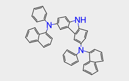 c1ccc(N(c2ccc3[nH]c4ccc(N(c5ccccc5)c5cccc6ccccc56)cc4c3c2)c2cccc3ccccc23)cc1